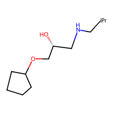 CC(C)CNC[C@@H](O)COC1CCCC1